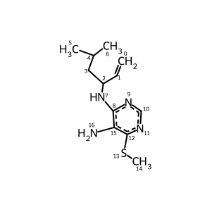 C=CC(CC(C)C)Nc1ncnc(SC)c1N